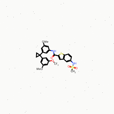 COc1cc(NC(=O)c2cc3cc(NS(C)(=O)=O)ccc3s2)cc(C2(c3cc(OC)cc(OC(F)(F)F)c3)CC2)c1